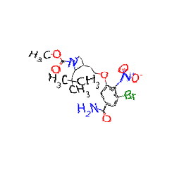 COC(=O)N1CC(CCOc2cc(C(N)=O)cc(Br)c2[N+](=O)[O-])C1C(C)(C)C